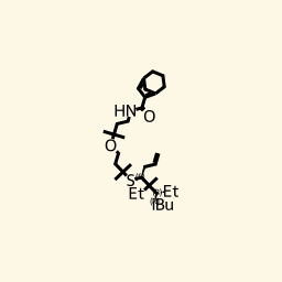 C=CC[C@H](SC(C)(C)CCOC(C)(C)CCNC(=O)C1=C2CCCC(=C1)C2)C(C)(CC)[C@H](CC)[C@H](C)CC